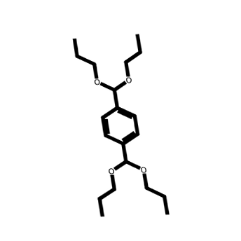 CCCOC(OCCC)c1ccc(C(OCCC)OCCC)cc1